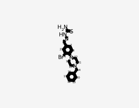 NC(=S)N/N=C/c1ccc(N2CCN(Cc3ccccc3)CC2)c(Br)c1